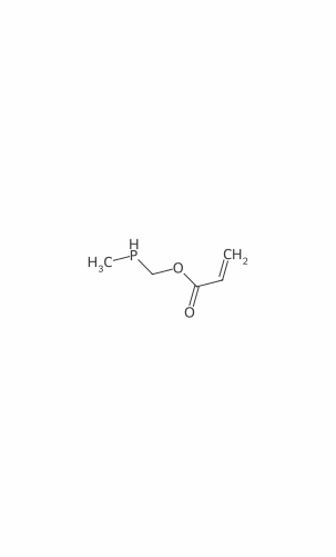 C=CC(=O)OCPC